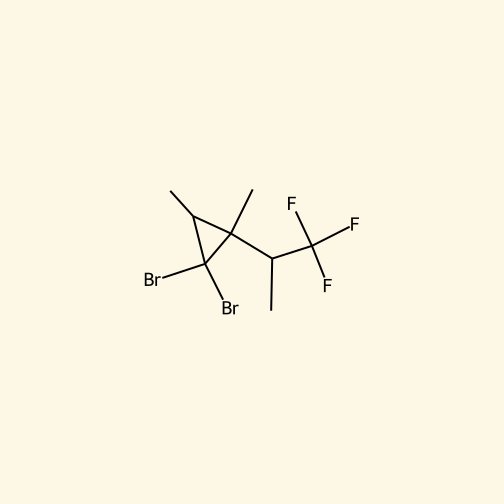 CC(C(F)(F)F)C1(C)C(C)C1(Br)Br